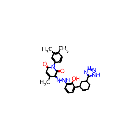 CC1=CC(=O)N(c2ccc(C)c(C)c2)C(=O)C1=NNc1cccc(C2CCCC(c3nnn[nH]3)C2)c1O